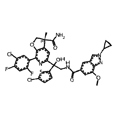 COc1cc(C(=O)NCC(O)(c2cc3c(c(-c4cc(Cl)c(F)cc4F)n2)OC[C@]3(C)C(N)=O)c2ccc(Cl)s2)cc2cn(C3CC3)nc12